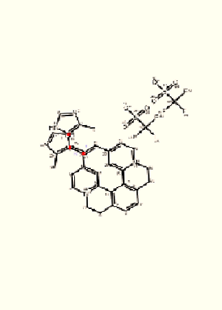 Cc1nc[nH]c1/C=C/c1cc[n+]2c(c1)-c1c(ccc3c1-c1cc(/C=C/c4[nH]cnc4C)cc[n+]1CC3)CC2.O=S(=O)([O-])C(F)(F)F.O=S(=O)([O-])C(F)(F)F